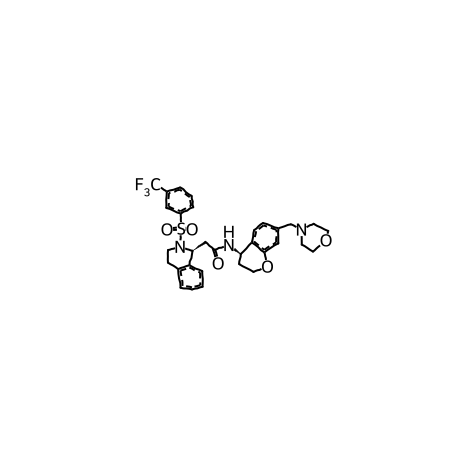 O=C(C[C@H]1c2ccccc2CCN1S(=O)(=O)c1cccc(C(F)(F)F)c1)N[C@@H]1CCOc2cc(CN3CCOCC3)ccc21